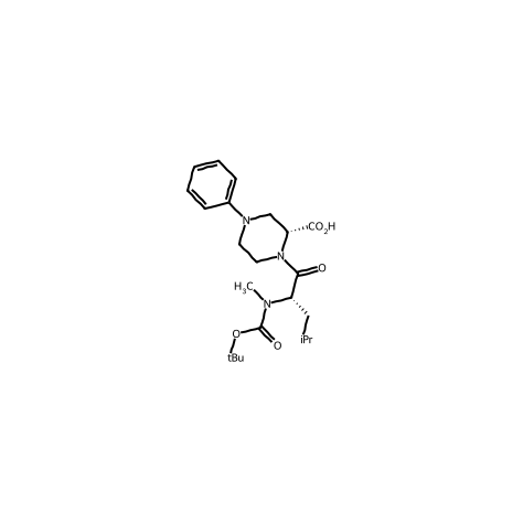 CC(C)C[C@@H](C(=O)N1CCN(c2ccccc2)C[C@@H]1C(=O)O)N(C)C(=O)OC(C)(C)C